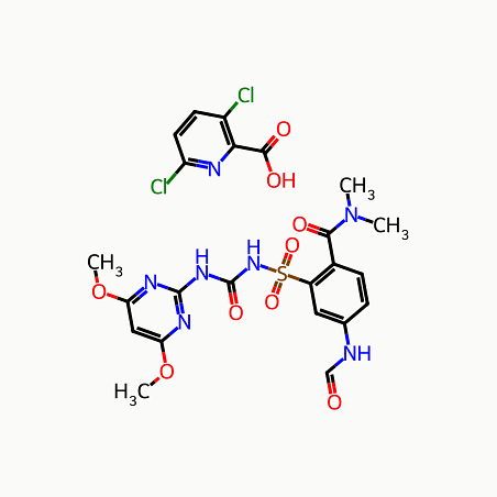 COc1cc(OC)nc(NC(=O)NS(=O)(=O)c2cc(NC=O)ccc2C(=O)N(C)C)n1.O=C(O)c1nc(Cl)ccc1Cl